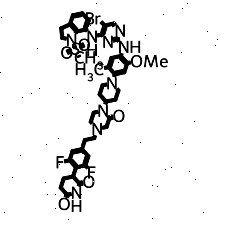 COc1cc(N2CCC(N3CCN(CCc4cc(F)c(C5CCC(=O)NC5=O)c(F)c4)CC3=O)CC2)c(C)cc1Nc1ncc(Br)c(Nc2cccc3c2N(S(C)(=O)=O)CC3)n1